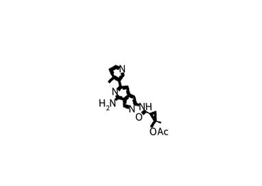 CC(=O)OC[C@@]1(C)C[C@@H]1C(=O)Nc1cc2cc(-c3cnccc3C)nc(N)c2cn1